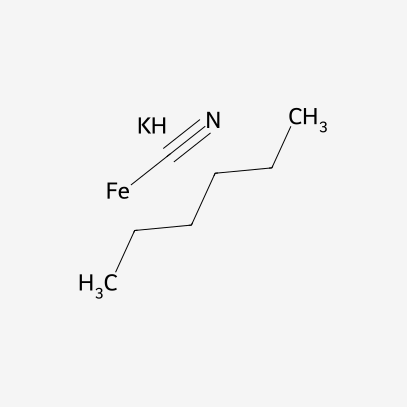 CCCCCC.N#[C][Fe].[KH]